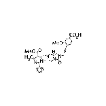 COC(=O)C1=C(CN2CCN3C(=O)N(CC#Cc4ccc(C(=O)O)cc4OC)C[C@@H]3C2)NC(c2nccs2)=N[C@H]1C